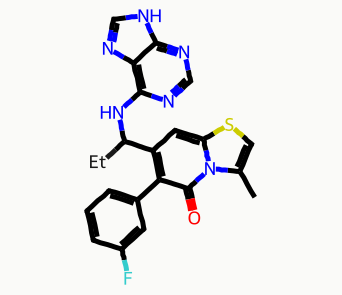 CCC(Nc1ncnc2[nH]cnc12)c1cc2scc(C)n2c(=O)c1-c1cccc(F)c1